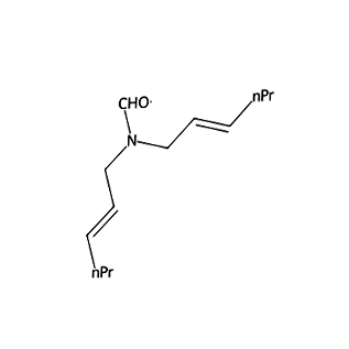 CCCC=CCN([C]=O)CC=CCCC